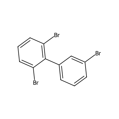 Brc1cccc(-c2c(Br)cccc2Br)c1